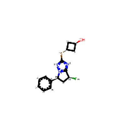 O[C@H]1C[C@H](Sc2nc3n(n2)[C@H](c2ccccc2)C[C@@H]3F)C1